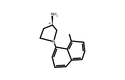 Cc1cccc2cccc(N3CC[C@@H](N)C3)c12